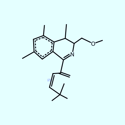 C=C(/C=C\C(C)(C)C)C1=NC(COC)C(C)c2c(C)cc(C)cc21